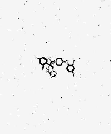 C[C@@H](N1CCC(Oc2ccc(F)cc2F)CC1)[C@](O)(Cn1cncn1)c1ccc(F)cc1F